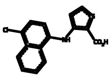 O=C(O)c1sccc1Nc1ccc(Cl)c2ccccc12